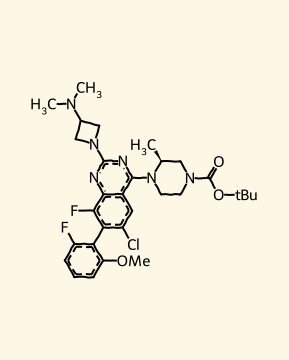 COc1cccc(F)c1-c1c(Cl)cc2c(N3CCN(C(=O)OC(C)(C)C)C[C@@H]3C)nc(N3CC(N(C)C)C3)nc2c1F